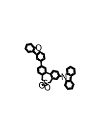 O=S1(=O)Cc2cc(-n3c4ccccc4c4ccccc43)ccc2-c2cc(-c3ccc4oc5ccccc5c4c3)ccc2C1